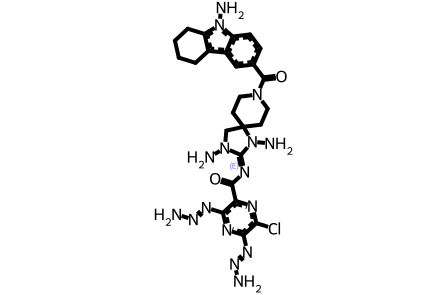 NN=Nc1nc(N=NN)c(C(=O)/N=C2\N(N)CC3(CCN(C(=O)c4ccc5c(c4)c4c(n5N)CCCC4)CC3)N2N)nc1Cl